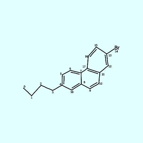 CCCCc1ccc2c(ccc3cc(Br)ccc32)c1